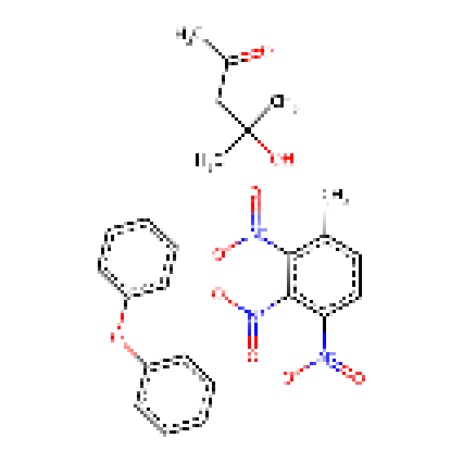 CC(=O)CC(C)(C)O.Cc1ccc([N+](=O)[O-])c([N+](=O)[O-])c1[N+](=O)[O-].c1ccc(Oc2ccccc2)cc1